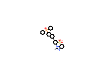 Cc1nc2cccc3c2n1-c1ccc(-c2ccc4cc(P(=O)(c5ccccc5)c5ccccc5)ccc4c2)cc1S3(=O)=O